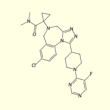 CN(C)C(=O)C1(N2Cc3cc(Cl)ccc3-n3c(nnc3C3CCN(c4ncncc4F)CC3)C2)CC1